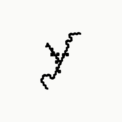 CCCCC/C=C\C/C=C\C/C=C\C/C=C\CCCC(=O)OCCCN(CCCOC(=O)CCC/C=C\C/C=C\C/C=C\C/C=C\CCCCC)C(=O)C=CC(=O)NCCOCCN(C)C